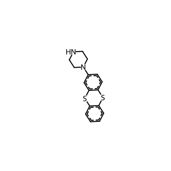 c1ccc2c(c1)Sc1ccc(N3CCNCC3)cc1S2